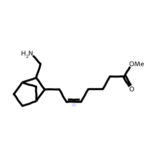 COC(=O)CCC/C=C\CC1C2CCC(C2)C1CN